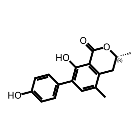 Cc1cc(-c2ccc(O)cc2)c(O)c2c1C[C@@H](C)OC2=O